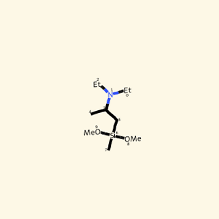 CCN(CC)C(C)C[Si](C)(OC)OC